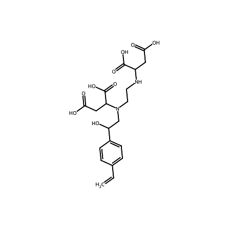 C=Cc1ccc(C(O)CN(CCNC(CC(=O)O)C(=O)O)C(CC(=O)O)C(=O)O)cc1